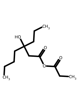 CCCCC(O)(CCC)CC(=O)OC(=O)CC